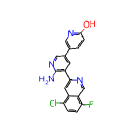 Nc1ncc(-c2ccc(O)nc2)cc1-c1cc2c(Cl)ccc(F)c2cn1